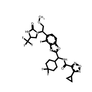 COCC(c1ccc2oc(C(NC(=O)c3nonc3C3CC3)C3CCC(F)(F)CC3)nc2c1F)N1CC(C(F)(F)F)NC1=O